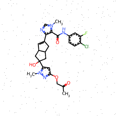 CC(=O)COc1cc(C2(O)CC3C=C(c4ncn(C)c4C(=O)Nc4ccc(Cl)c(F)c4)CC3C2)n(C)n1